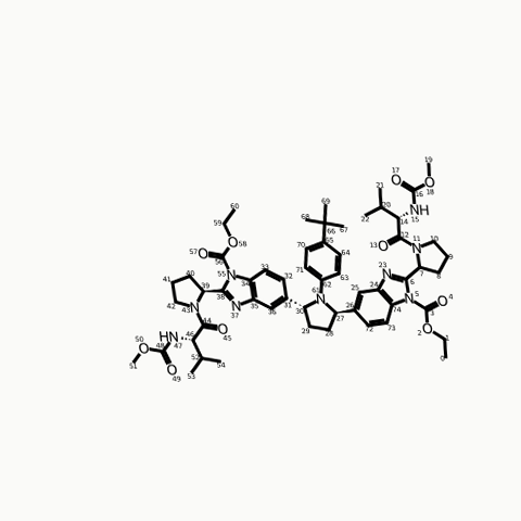 CCOC(=O)n1c(C2CCCN2C(=O)[C@@H](NC(=O)OC)C(C)C)nc2cc([C@H]3CC[C@H](c4ccc5c(c4)nc([C@@H]4CCCN4C(=O)[C@@H](NC(=O)OC)C(C)C)n5C(=O)OCC)N3c3ccc(C(C)(C)C)cc3)ccc21